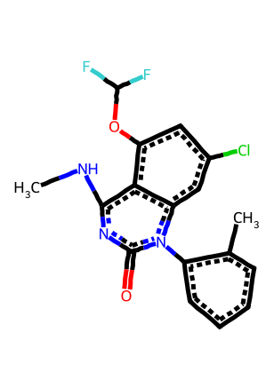 CNc1nc(=O)n(-c2ccccc2C)c2cc(Cl)cc(OC(F)F)c12